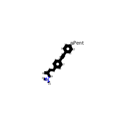 C=C(CCc1ccc(C#Cc2ccc(CCCCC)cc2)cc1)CN(C)C